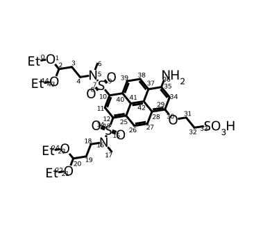 CCOC(CCN(C)S(=O)(=O)c1cc(S(=O)(=O)N(C)CCC(OCC)OCC)c2ccc3c(OCCS(=O)(=O)O)cc(N)c4ccc1c2c43)OCC